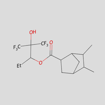 CCC(OC(=O)C1CC2CC1C(C)C2C)C(O)(C(F)(F)F)C(F)(F)F